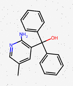 Cc1cnc(N)c(C(O)(c2ccccc2)c2ccccc2)c1